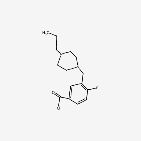 CCCN1CCN(Cc2cc(C(=O)Cl)ccc2F)CC1